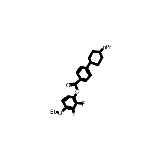 CCCC1CCC(c2ccc(C(=O)Oc3ccc(OCC)c(F)c3F)cc2)CC1